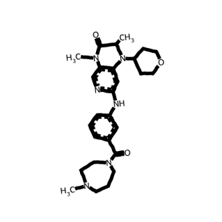 CC1C(=O)N(C)c2cnc(Nc3cccc(C(=O)N4CCCN(C)CC4)c3)cc2N1C1CCOCC1